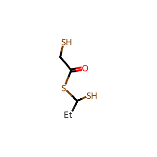 CCC(S)SC(=O)CS